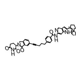 CN1CCC[C@@H]1c1cc2cnc(NC(=O)c3ccc(CCCC#Cc4ccc5c(c4)C(=O)N(C4CCC(=O)NC4=O)C5)cc3)cc2[nH]1